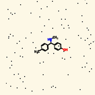 CN[C@H](c1ccc(C)cc1)c1ccc(O)cc1